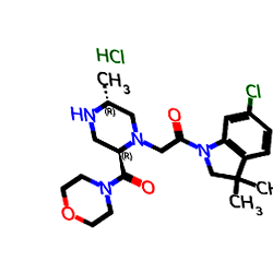 C[C@@H]1CN(CC(=O)N2CC(C)(C)c3ccc(Cl)cc32)[C@@H](C(=O)N2CCOCC2)CN1.Cl